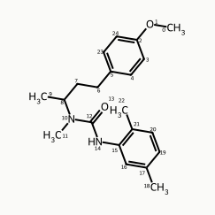 COc1ccc(CCC(C)N(C)C(=O)Nc2cc(C)ccc2C)cc1